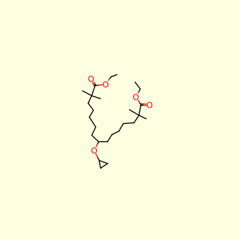 CCOC(=O)C(C)(C)CCCCCC(CCCCCC(C)(C)C(=O)OCC)OC1CC1